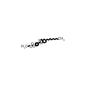 CCCCCCCCCC1CCc2nc(-c3ccc(OC(=O)OCCC)cc3)ncc2C1